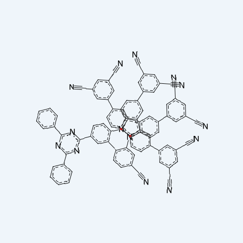 N#Cc1cc(C#N)cc(-c2ccc3c(c2)c2cc(-c4cc(C#N)cc(C#N)c4)ccc2n3-c2ccc(-c3nc(-c4ccccc4)nc(-c4ccccc4)n3)cc2-c2ccc(C#N)cc2-n2c3ccc(-c4cc(C#N)cc(C#N)c4)cc3c3cc(-c4cc(C#N)cc(C#N)c4)ccc32)c1